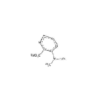 CCOC(=O)c1ncccc1N(C)C(C)=O